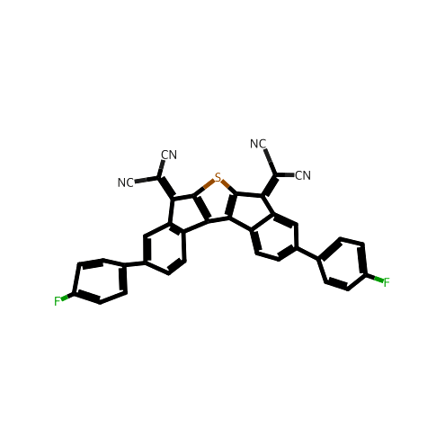 N#CC(C#N)=C1c2cc(-c3ccc(F)cc3)ccc2-c2c1sc1c2-c2ccc(-c3ccc(F)cc3)cc2C1=C(C#N)C#N